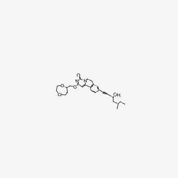 CCC(C)CC(O)C#Cc1ccc2c(c1)CCn1c-2cc(OCC2CCOCCO2)nc1=O